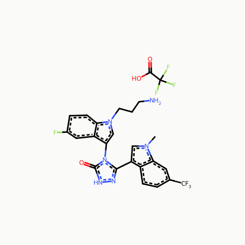 Cn1cc(-c2n[nH]c(=O)n2-c2cn(CCCN)c3ccc(F)cc23)c2ccc(C(F)(F)F)cc21.O=C(O)C(F)(F)F